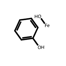 Oc1ccccc1.[OH][Fe]